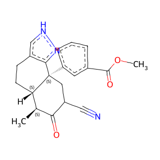 COC(=O)c1cccc([C@]23CC(C#N)C(=O)[C@@H](C)[C@@H]2CCc2c[nH]nc23)c1